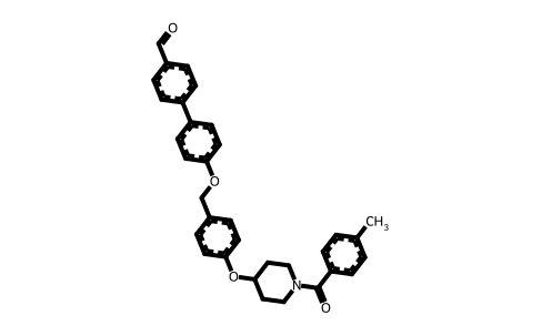 Cc1ccc(C(=O)N2CCC(Oc3ccc(COc4ccc(-c5ccc(C=O)cc5)cc4)cc3)CC2)cc1